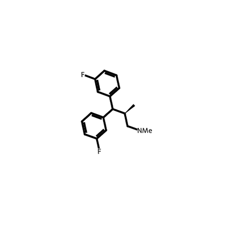 CNC[C@H](C)C(c1cccc(F)c1)c1cccc(F)c1